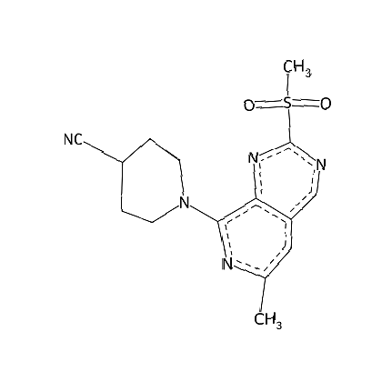 Cc1cc2cnc(S(C)(=O)=O)nc2c(N2CCC(C#N)CC2)n1